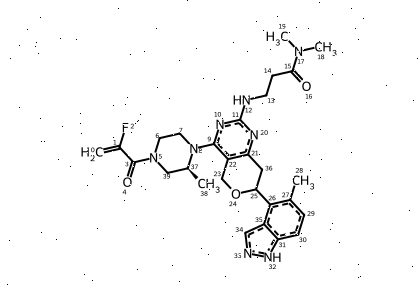 C=C(F)C(=O)N1CCN(c2nc(NCCC(=O)N(C)C)nc3c2COC(c2c(C)ccc4[nH]ncc24)C3)[C@@H](C)C1